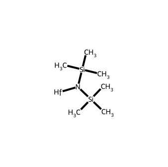 C[Si](C)(C)[N]([Hf])[Si](C)(C)C